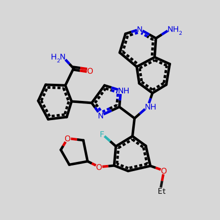 CCOc1cc(OC2CCOC2)c(F)c(C(Nc2ccc3c(N)nccc3c2)c2nc(-c3ccccc3C(N)=O)c[nH]2)c1